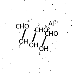 O=[C-]O.O=[C-]O.O=[C-]O.[Al+3]